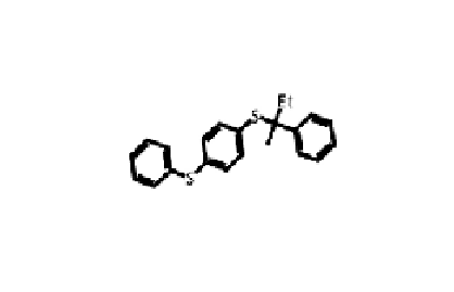 CCC(C)(Sc1ccc(Sc2ccccc2)cc1)c1ccccc1